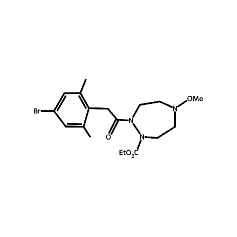 CCOC(=O)N1CCN(OC)CCN1C(=O)Cc1c(C)cc(Br)cc1C